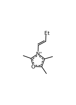 CCC=C[n+]1c(C)oc(C)c1C